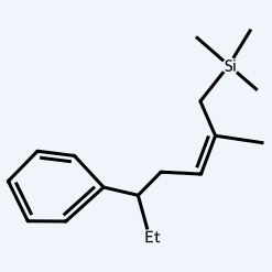 CCC(C/C=C(/C)C[Si](C)(C)C)c1ccccc1